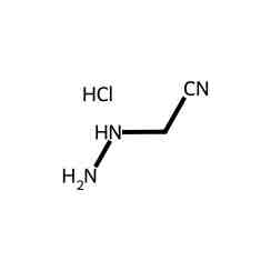 Cl.N#CCNN